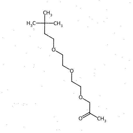 CC(=O)COCCOCCOCCC(C)(C)C